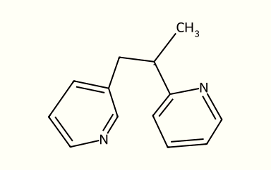 C[C](Cc1cccnc1)c1ccccn1